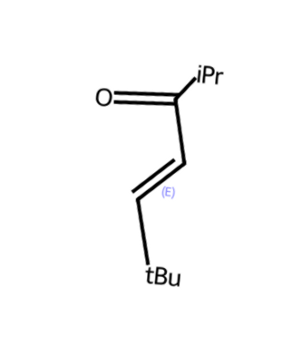 CC(C)C(=O)/C=C/C(C)(C)C